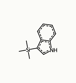 C[Si](C)(C)c1c[nH]c2ccccc12